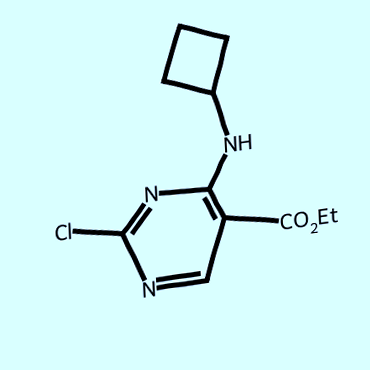 CCOC(=O)c1cnc(Cl)nc1NC1CCC1